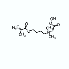 C=C(C)C(=O)OCCCC[N+](C)(C)CC(=O)OO